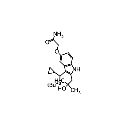 CC(C)(O)Cc1[nH]c2ccc(OCC(N)=O)cc2c1C(SC(C)(C)C)C1CC1